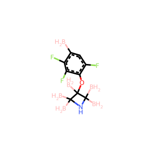 Bc1cc(F)c(OC2(B)C(B)(B)NC2(B)B)c(F)c1F